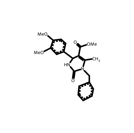 COC(=O)C1=C(C)N(Cc2ccccc2)C(=O)NC1c1ccc(OC)c(OC)c1